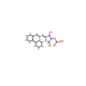 O=C(O)CN1C(=O)C(=CC=Cc2ccccc2-c2ccccc2)SC1=S